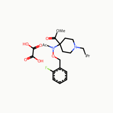 COC(=O)C1(N(OCc2ccccc2F)C(C)=O)CCN(CC(C)C)CC1.O=C(O)C(=O)O